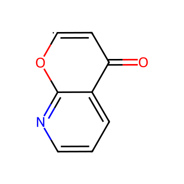 O=c1c[c]oc2ncccc12